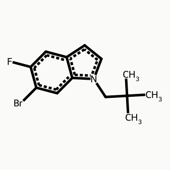 CC(C)(C)Cn1ccc2cc(F)c(Br)cc21